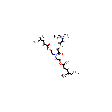 CCC(C)CCC(=O)OCCN(CCOC(=O)CCC(C)C)C(=O)CSCCN(C)C